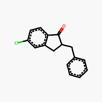 O=C1c2ccc(Cl)cc2CC1Cc1ccccc1